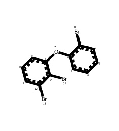 Brc1ccccc1Oc1cccc(Br)c1Br